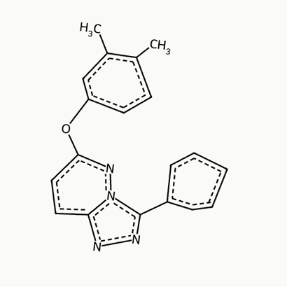 Cc1ccc(Oc2ccc3nnc(-c4ccccc4)n3n2)cc1C